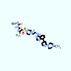 COC(=O)Nc1nc(C)c(S(=O)(=O)N2CCN(C[C@H](C)Nc3ncnc4c(-c5ccnc(N6CCN(C)CC6)c5)cccc34)CC2)s1